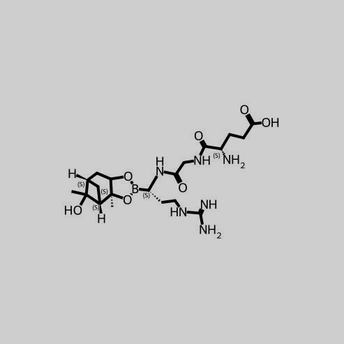 CC1(O)[C@@H]2CC3OB([C@@H](CCNC(=N)N)NC(=O)CNC(=O)[C@@H](N)CCC(=O)O)O[C@@]3(C)[C@H]1C2